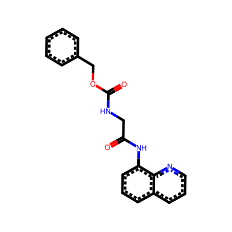 O=C(CNC(=O)OCc1ccccc1)Nc1cccc2cccnc12